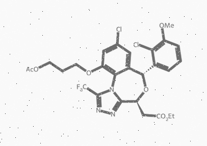 CCOC(=O)C[C@@H]1O[C@@H](c2cccc(OC)c2Cl)c2cc(Cl)cc(OCCCOC(C)=O)c2-n2c1nnc2C(F)(F)F